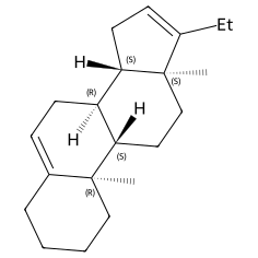 CCC1=CC[C@H]2[C@@H]3CC=C4CCCC[C@]4(C)[C@H]3CC[C@]12C